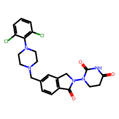 O=C1CCN(N2Cc3cc(CN4CCN(c5c(Cl)cccc5Cl)CC4)ccc3C2=O)C(=O)N1